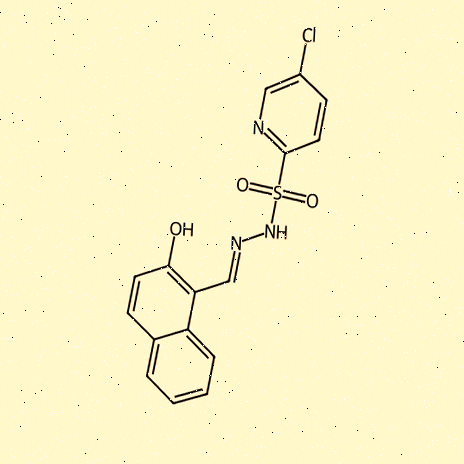 O=S(=O)(N/N=C/c1c(O)ccc2ccccc12)c1ccc(Cl)cn1